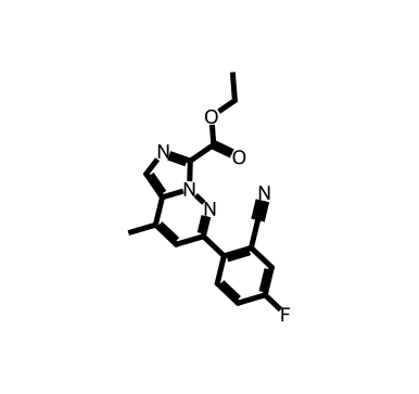 CCOC(=O)c1ncc2c(C)cc(-c3ccc(F)cc3C#N)nn12